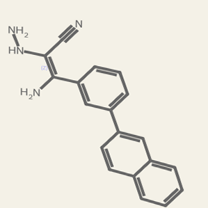 N#C/C(NN)=C(/N)c1cccc(-c2ccc3ccccc3c2)c1